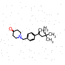 C=C(CC(C)(C)C)c1ccc(CN2CCC(=O)CC2)cc1